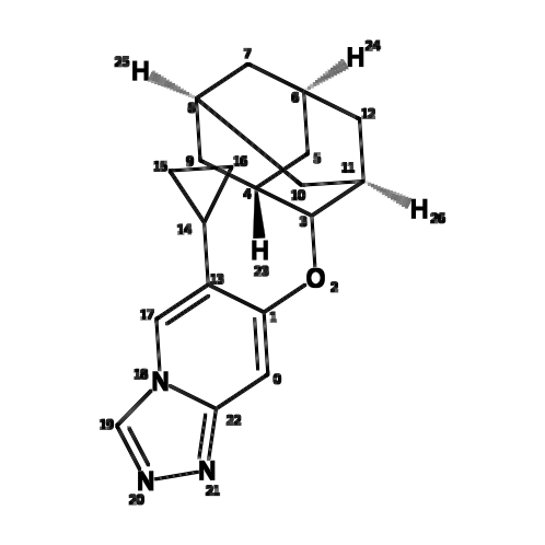 c1c(OC2[C@H]3C[C@H]4C[C@H](C3)C[C@H]2C4)c(C2CC2)cn2cnnc12